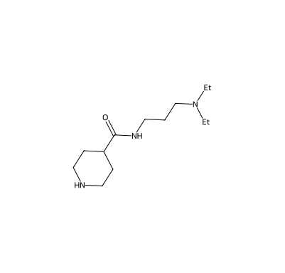 CCN(CC)CCCNC(=O)C1CCNCC1